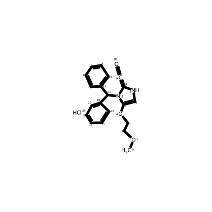 COCCOC1=CNC(=C=O)N1C(c1ccccc1)c1ccccc1.Cl